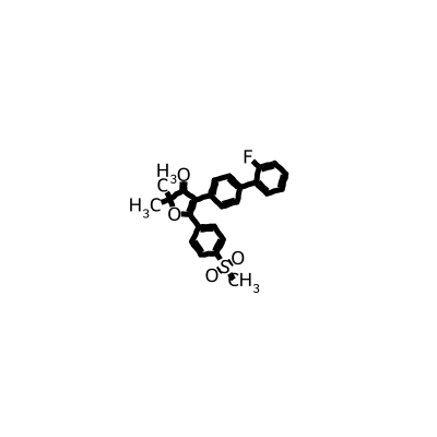 CC1(C)OC(c2ccc(S(C)(=O)=O)cc2)=C(c2ccc(-c3ccccc3F)cc2)C1=O